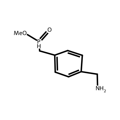 CO[PH](=O)Cc1ccc(CN)cc1